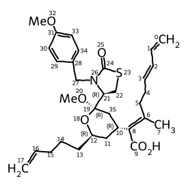 C=CC=CCCC(C)=C(C(=O)O)[C@@H]1C[C@@H](CCCC=C)O[C@@](OC)([C@@H]2CSC(=O)N2Cc2ccc(OC)cc2)C1